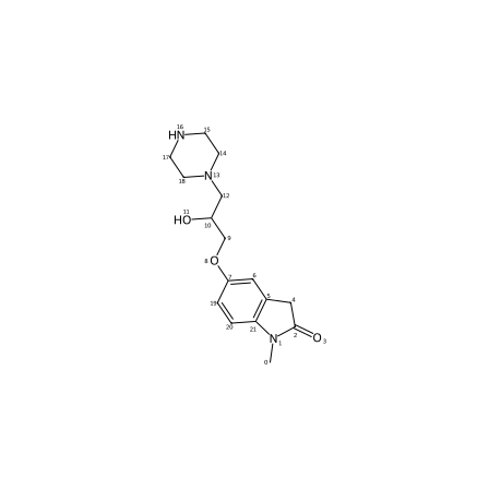 CN1C(=O)Cc2cc(OCC(O)CN3CCNCC3)ccc21